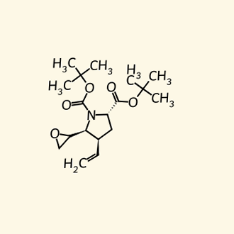 C=C[C@@H]1C[C@@H](C(=O)OC(C)(C)C)N(C(=O)OC(C)(C)C)[C@@H]1C1CO1